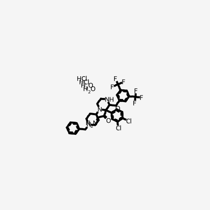 Cl.Cl.NCC(=O)C1(c2ccc(Cl)c(Cl)c2)C(C(=O)c2cc(C(F)(F)F)cc(C(F)(F)F)c2)NCCN1C1CCN(Cc2ccccc2)CC1.O.O